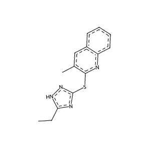 CCc1nc(Sc2nc3ccccc3cc2C)n[nH]1